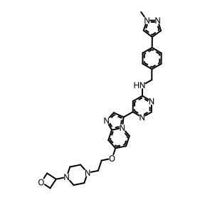 Cn1cc(-c2ccc(CNc3cc(-c4cnc5cc(OCCN6CCN(C7COC7)CC6)ccn45)ncn3)cc2)cn1